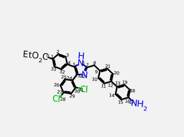 CCOC(=O)c1ccc(-c2[nH]c(Cc3ccc(-c4ccc(N)cc4)cc3)nc2-c2ccc(Cl)cc2Cl)cc1